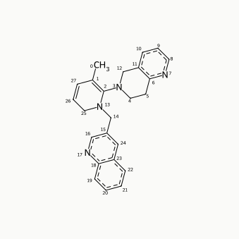 CC1=C(N2CCc3ncccc3C2)N(Cc2cnc3ccccc3c2)CC=C1